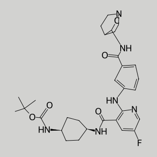 CC(C)(C)OC(=O)N[C@H]1CC[C@@H](NC(=O)c2cc(F)cnc2Nc2cccc(C(=O)NC3CN4CCC3CC4)c2)CC1